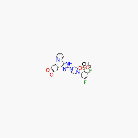 CS(=O)(=O)c1c(F)cc(F)cc1N1CCN(c2nc(-c3ccc4c(c3)OCO4)c(-c3ccccn3)[nH]2)CC1